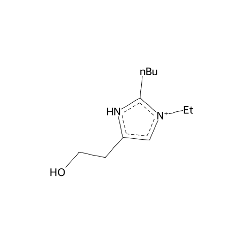 CCCCc1[nH]c(CCO)c[n+]1CC